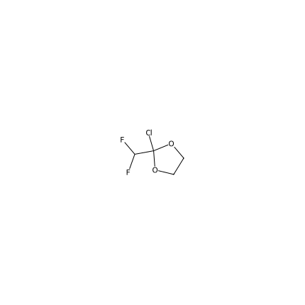 FC(F)C1(Cl)OCCO1